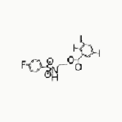 O=C(OCCNS(=O)(=O)c1ccc(F)cc1)c1cc(I)cc(I)c1I